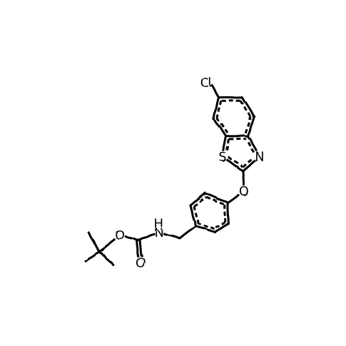 CC(C)(C)OC(=O)NCc1ccc(Oc2nc3ccc(Cl)cc3s2)cc1